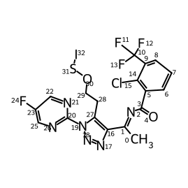 C/C(=N\C(=O)c1cccc(C(F)(F)F)c1Cl)c1nnn(-c2ncc(F)cn2)c1CCOSI